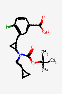 CC(C)(C)OC(=O)N(CC1CC1)C1CC1c1cc(C(=O)O)ccc1F